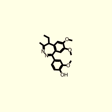 CCC1C(C)=NN=C(c2ccc(O)c(OC)c2)c2cc(OC)c(OC)cc21